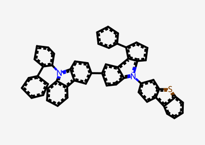 c1ccc(-c2ccccc2-n2c3ccccc3c3cc(-c4ccc5c(c4)c4c(-c6ccccc6)cccc4n5-c4ccc5c(c4)sc4ccccc45)ccc32)cc1